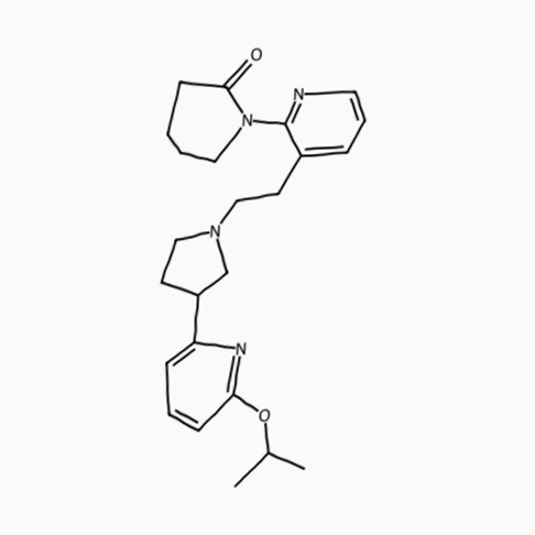 CC(C)Oc1cccc(C2CCN(CCc3cccnc3N3CCCCC3=O)C2)n1